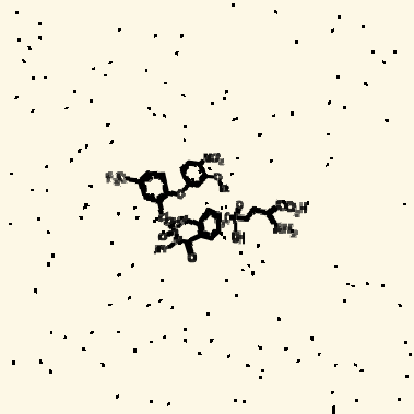 CC(C)N1C(=O)c2ccccc2NS1(=O)=O.CCOc1cc(Oc2ccc(C(F)(F)F)cc2Cl)ccc1[N+](=O)[O-].CP(=O)(O)CCC(N)C(=O)O